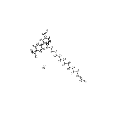 C=Cc1cc[n+](CCCCCCCCCCCCCCCCCC)c(-c2ccc(N(C)C)cc2)c1.[I-]